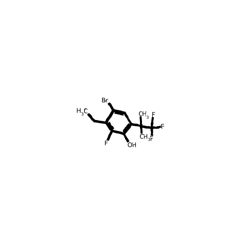 CCc1c(Br)cc(C(C)(C)C(F)(F)F)c(O)c1F